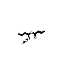 CC=CC(=O)OC(CCC)N=C=O